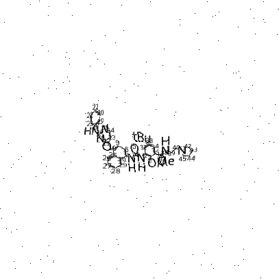 COc1c(NC(=O)Nc2ccc(Oc3ccnc(Nc4ccccc4)n3)c3ccccc23)cc(C(C)(C)C)cc1C(=O)NCCN1CCCC1